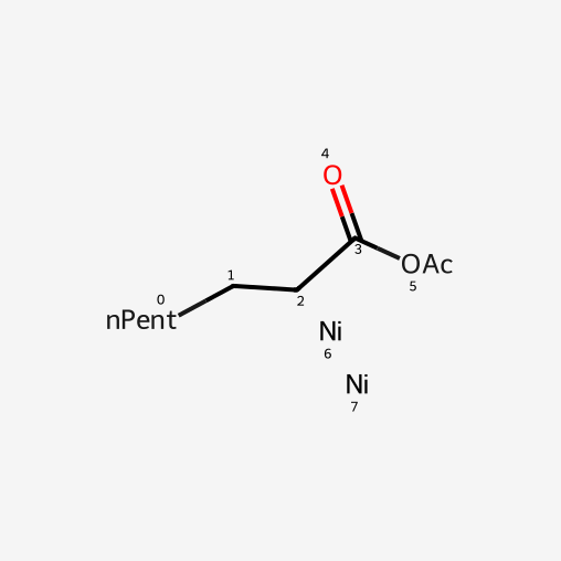 CCCCCCCC(=O)OC(C)=O.[Ni].[Ni]